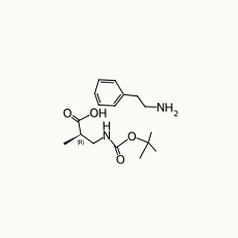 C[C@H](CNC(=O)OC(C)(C)C)C(=O)O.NCCc1ccccc1